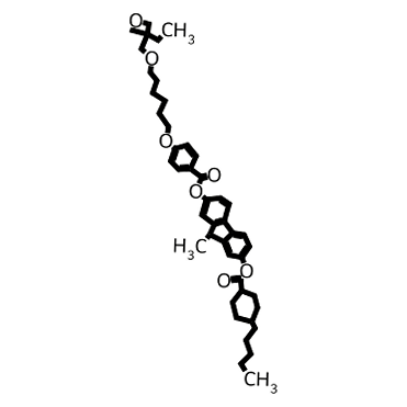 CCCCCC1CCC(C(=O)Oc2ccc3c(c2)C(C)c2cc(OC(=O)c4ccc(OCCCCCCOCC5(CC)COC5)cc4)ccc2-3)CC1